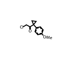 COc1ccc(C2(C(=O)CCl)CC2)cc1